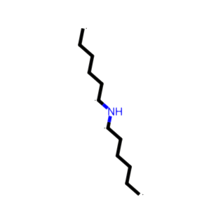 [CH2]CCCC[CH]N[CH]CCCC[CH2]